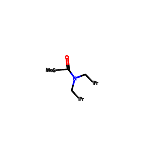 CSC(=O)N(CC(C)C)CC(C)C